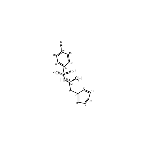 O=S(=O)(N[C@@H](O)Cc1ccccc1)c1ccc(Br)cc1